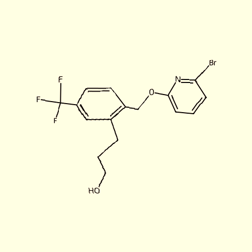 OCCCc1cc(C(F)(F)F)ccc1COc1cccc(Br)n1